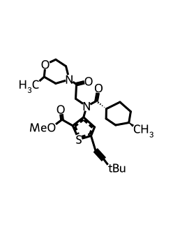 COC(=O)c1sc(C#CC(C)(C)C)cc1N(CC(=O)N1CCOC(C)C1)C(=O)[C@H]1CC[C@H](C)CC1